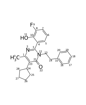 Cc1nc(-c2cccc(F)c2O)n(CCc2ccccc2)c(=O)c1C1CCCC1